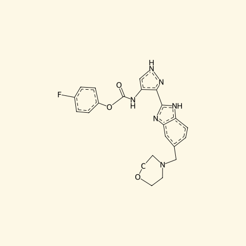 O=C(Nc1c[nH]nc1-c1nc2cc(CN3CCOCC3)ccc2[nH]1)Oc1ccc(F)cc1